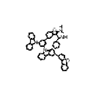 CNc1oc2ccc(-c3cc(-n4c5ccccc5c5ccccc54)cc(-n4c5ccccc5c5cc(-c6ccc7oc8ccccc8c7c6)ccc54)c3)cc2c1C(=N)c1ccccc1